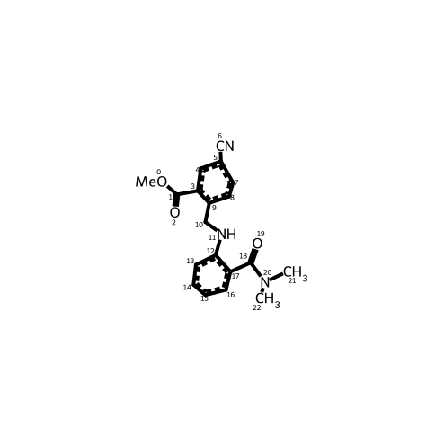 COC(=O)c1cc(C#N)ccc1CNc1ccccc1C(=O)N(C)C